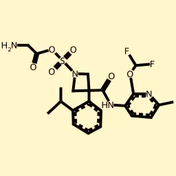 Cc1ccc(NC(=O)C2(c3ccccc3C(C)C)CN(S(=O)(=O)OC(=O)CN)C2)c(OC(F)F)n1